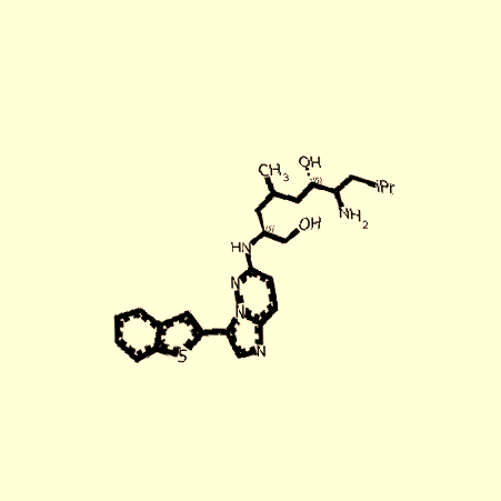 CC(C)CC(N)[C@@H](O)CC(C)C[C@@H](CO)Nc1ccc2ncc(-c3cc4ccccc4s3)n2n1